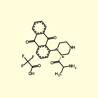 CC(N)C(=O)[C@H]1CNCCN1c1cccc2c1C(=O)c1ccccc1C2=O.O=C(O)C(F)(F)F